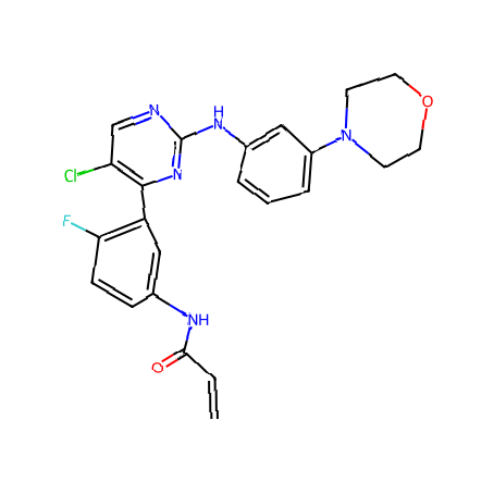 C=CC(=O)Nc1ccc(F)c(-c2nc(Nc3cccc(N4CCOCC4)c3)ncc2Cl)c1